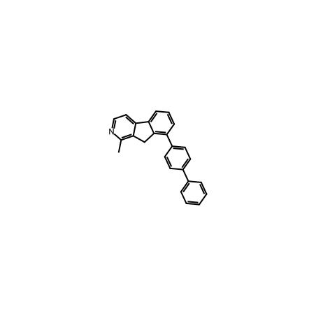 Cc1nccc2c1Cc1c(-c3ccc(-c4ccccc4)cc3)cccc1-2